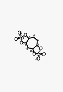 O=S1(=O)OC2CCC3OS(=O)(=O)OC3CC2O1